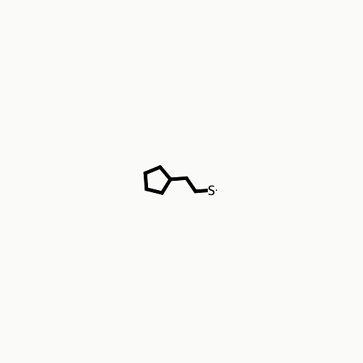 [S]CCC1CCCC1